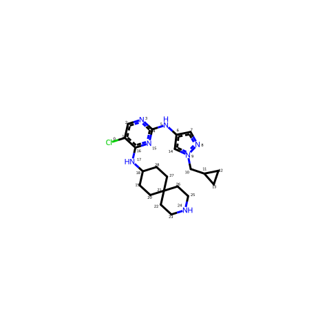 Clc1cnc(Nc2cnn(CC3CC3)c2)nc1NC1CCC2(CCNCC2)CC1